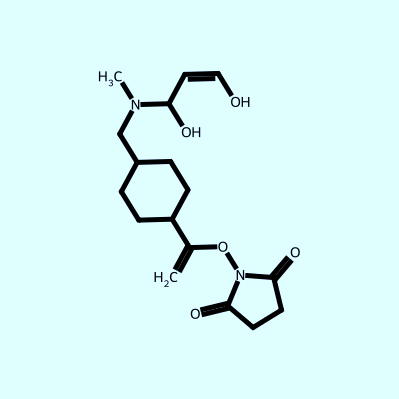 C=C(ON1C(=O)CCC1=O)C1CCC(CN(C)C(O)/C=C\O)CC1